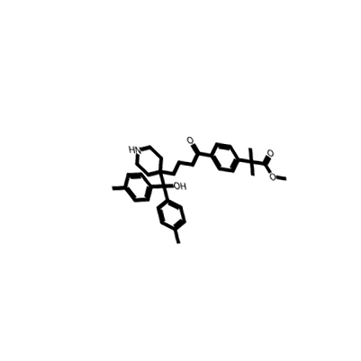 COC(=O)C(C)(C)c1ccc(C(=O)CCCC2(C(O)(c3ccc(C)cc3)c3ccc(C)cc3)CCNCC2)cc1